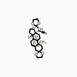 CC1([C@H]2CC[C@H]3[C@@H]4CC=C5CC6(CC[C@@]5(C)[C@@H]4CC[C@]23CC#N)OCCO6)OCCO1